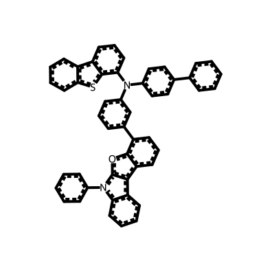 c1ccc(-c2ccc(N(c3cccc(-c4cccc5c4oc4c5c5ccccc5n4-c4ccccc4)c3)c3cccc4c3sc3ccccc34)cc2)cc1